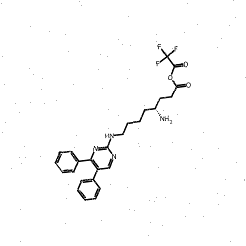 N[C@H](CCCCNc1ncc(-c2ccccc2)c(-c2ccccc2)n1)CCC(=O)OC(=O)C(F)(F)F